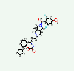 C1CCCC1.COc1cc(F)c(C(=O)N2CC3CN(CCC(NC(=O)O)c4ccccc4)C[C@H]3C2)c(F)c1